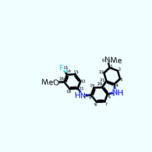 CNC1CCc2[nH]c3ccc(Nc4ccc(F)c(OC)c4)cc3c2C1